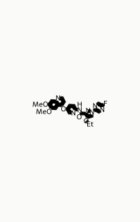 CCOc1cn(-c2cnc(F)cn2)nc1C(=O)Nc1ccc(Oc2ccnc3cc(OC)c(OC)cc23)cn1